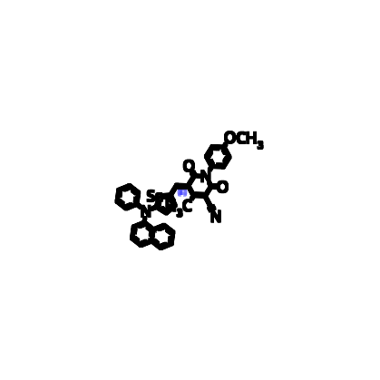 COc1ccc(N2C(=O)C(C#N)=C(C)/C(=C\c3ccc(N(c4ccccc4)c4cccc5ccccc45)[se]3)C2=O)cc1